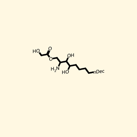 CCCCCCCCCCCCCCC(O)C(O)C(N)COC(=O)CO